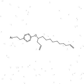 C=CCCCCCCCCC(CC=C)Oc1ccc(CCC(C)=O)cc1